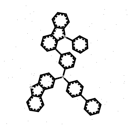 c1ccc(-c2ccc(N(c3cccc(-c4cccc5c6ccccc6n(-c6ccccc6)c45)c3)c3ccc4oc5ccccc5c4c3)cc2)cc1